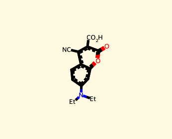 CCN(CC)c1ccc2c(C#N)c(C(=O)O)c(=O)oc2c1